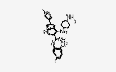 Cn1cc(-c2cc3c(N[C@H]4CC[C@H](N)CC4)c(/C(N)=N/c4cc(F)ccc4Cl)cnn3c2)cn1